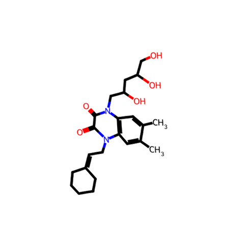 Cc1cc2c(cc1C)n(CC(O)CC(O)CO)c(=O)c(=O)n2CC=C1CCCCC1